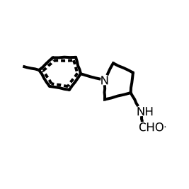 Cc1ccc(N2CCC(N[C]=O)C2)cc1